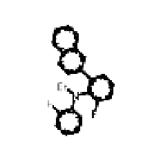 CCN(c1ccccc1F)c1c(F)cccc1-c1ccc2ccccc2c1